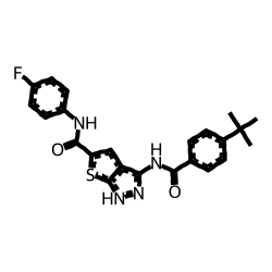 CC(C)(C)c1ccc(C(=O)Nc2n[nH]c3sc(C(=O)Nc4ccc(F)cc4)cc23)cc1